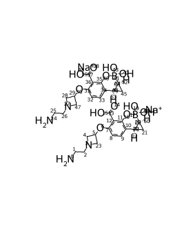 NCCN1CC(Oc2ccc3c(c2C(=O)O)O[B-](O)(O)[C@H]2C[C@@H]32)C1.NCCN1CC(Oc2ccc3c(c2C(=O)O)O[B-](O)(O)[C@H]2C[C@@H]32)C1.[Na+].[Na+]